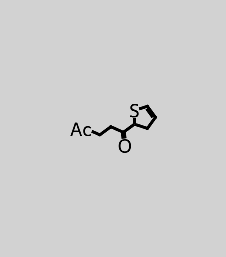 CC(=O)CCC(=O)C1CC=CS1